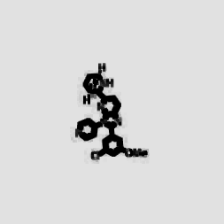 COc1cc(Cl)cc(-c2nc3ccc(N4C[C@H]5CC[C@@H]4CN5)nc3n2-c2ccncc2)c1